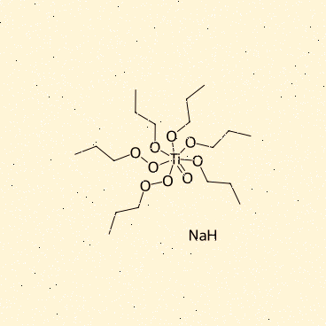 CCCO[O][Ti](=[O])([O]CCC)([O]CCC)([O]CCC)([O]CCC)[O]OCCC.[NaH]